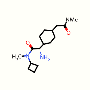 CNC(=O)CC1CCC([C@H](N)C(=O)N(C)C2CCC2)CC1